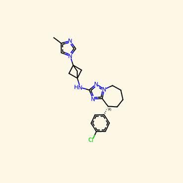 Cc1cn(C23CC(Nc4nc5n(n4)CCCC[C@@H]5c4ccc(Cl)cc4)(C2)C3)cn1